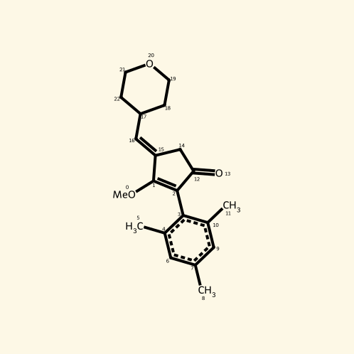 COC1=C(c2c(C)cc(C)cc2C)C(=O)C/C1=C\C1CCOCC1